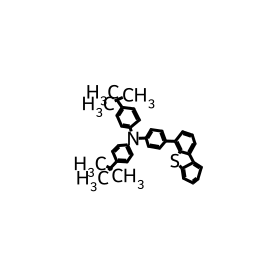 CC(C)(C)c1ccc(N(c2ccc(-c3cccc4c3sc3ccccc34)cc2)c2ccc(C(C)(C)C)cc2)cc1